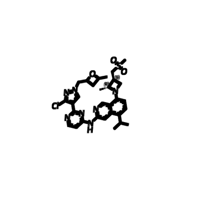 CC1CC(Cn2cc(-c3nccc(Nc4cc5c(C(C)C)ccc(N6C[C@H](CS(C)(=O)=O)[C@H]6C)c5cn4)n3)c(Cl)n2)O1